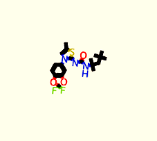 Cc1cn(-c2ccc3c(c2)OC(F)(F)O3)c(=NC(=O)NC(C)(C)CC(C)(C)C)s1